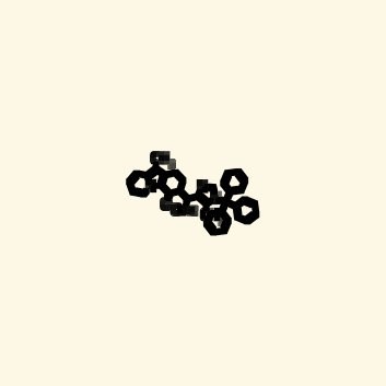 CC(=O)OC(c1ncn(C(c2ccccc2)(c2ccccc2)c2ccccc2)c1C)C1CCc2c(C)c3ccccn3c2C1=O